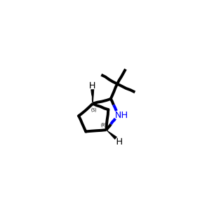 CC(C)(C)C1N[C@@H]2CC[C@H]1C2